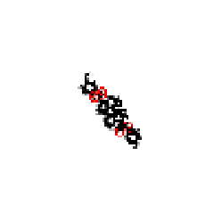 CCC1CCC(OC(=O)c2ccc3c4cccc5c(C(=O)OC6CCC(C)CC6)ccc(c6cccc2c63)c54)CC1